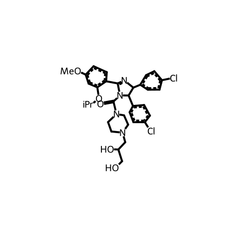 COc1ccc(C2=NC(c3ccc(Cl)cc3)C(c3ccc(Cl)cc3)N2C(=O)N2CCN(CC(O)CO)CC2)c(OC(C)C)c1